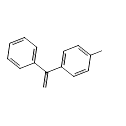 C=C(c1ccccc1)c1ccc(C=O)cc1